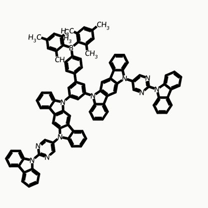 Cc1cc(C)c(B(c2ccc(-c3cc(-n4c5ccccc5c5cc6c(cc54)c4ccccc4n6-c4cnc(-n5c6ccccc6c6ccccc65)nc4)cc(-n4c5ccccc5c5cc6c(cc54)c4ccccc4n6-c4cnc(-n5c6ccccc6c6ccccc65)nc4)c3)cc2)c2c(C)cc(C)cc2C)c(C)c1